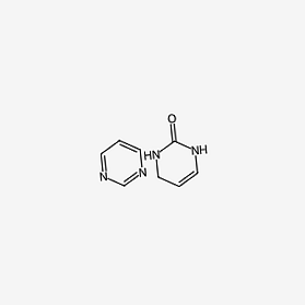 O=C1NC=CCN1.c1cncnc1